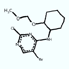 COCOC1CCCCC1Nc1nc(Cl)ncc1Br